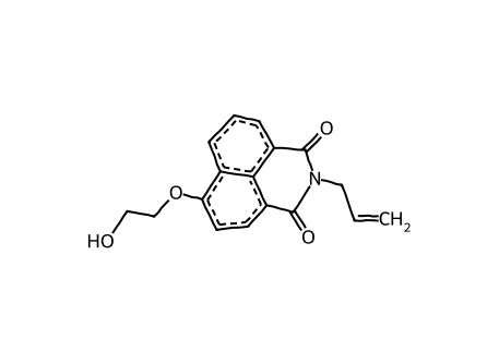 C=CCN1C(=O)c2cccc3c(OCCO)ccc(c23)C1=O